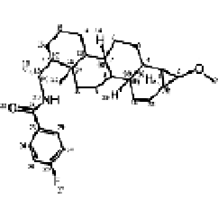 COC1C2C3CC[C@@H]4C(CC[C@@]5(C)C4CCC[C@@H]5[C@@H](C)NC(=O)c4ccc(F)cc4)[C@H]3CC[C@H]12